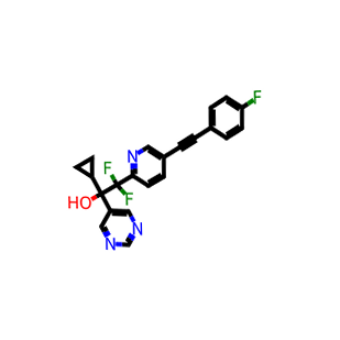 OC(c1cncnc1)(C1CC1)C(F)(F)c1ccc(C#Cc2ccc(F)cc2)cn1